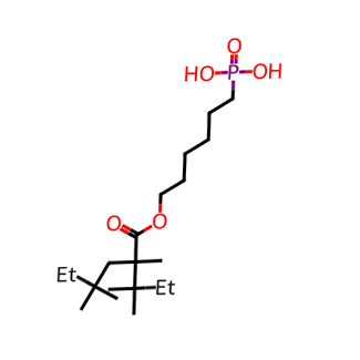 CCC(C)(C)CC(C)(C(=O)OCCCCCCP(=O)(O)O)C(C)(C)CC